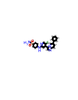 NS(=O)(=O)C1CCC(Nc2cc(-c3cnc4ccc(-c5ccccc5)cn34)c(F)cn2)CC1